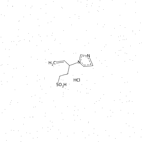 C=CC(CCS(=O)(=O)O)n1ccnc1.Cl